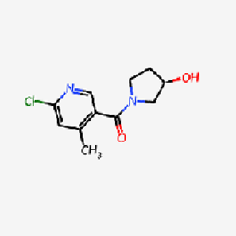 Cc1cc(Cl)ncc1C(=O)N1CC[C@@H](O)C1